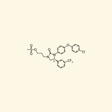 CS(=O)(=O)OCCCN1C[C@H](c2cccc(C(F)(F)F)c2)N(c2ccc(Oc3ccc(Cl)cc3)cc2)C1=O